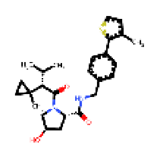 Cc1ccsc1-c1ccc(CNC(=O)[C@@H]2C[C@@H](O)CN2C(=O)[C@@H](C(C)C)C2(C)CC2)cc1